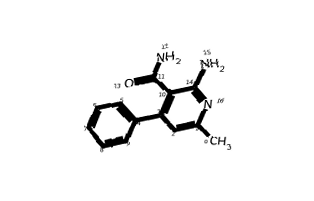 Cc1cc(-c2ccccc2)c(C(N)=O)c(N)n1